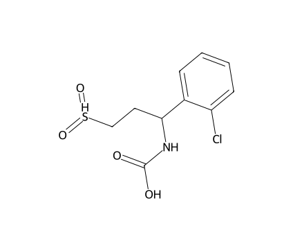 O=C(O)NC(CC[SH](=O)=O)c1ccccc1Cl